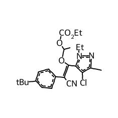 CCOC(=O)OC(C)O/C(=C(/C#N)c1ccc(C(C)(C)C)cc1)c1c(Cl)c(C)nn1CC